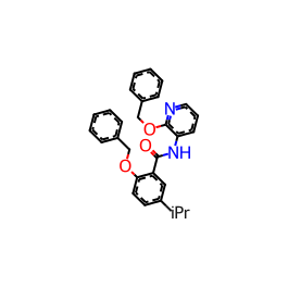 CC(C)c1ccc(OCc2ccccc2)c(C(=O)Nc2cccnc2OCc2ccccc2)c1